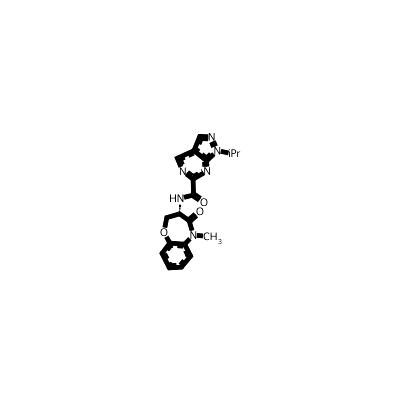 CC(C)n1ncc2cnc(C(=O)N[C@H]3COc4ccccc4N(C)C3=O)nc21